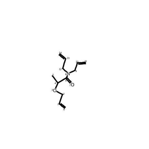 C=CCOC(C)C(=O)N(CC=C)CC=C